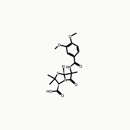 COc1ccc(C(=O)NC2(C)C(=O)N3[C@@H](C(=O)O)C(C)(C)S[C@@H]32)cc1OC